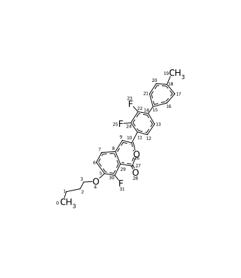 CCCCOc1ccc2cc(-c3ccc(-c4ccc(C)cc4)c(F)c3F)oc(=O)c2c1F